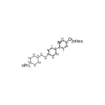 CCCCCCOc1ccc(-c2ccc(CCC3CCC(CCC)CC3)cc2)nc1